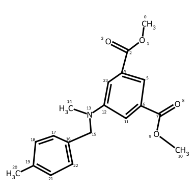 COC(=O)c1cc(C(=O)OC)cc(N(C)Cc2ccc(C)cc2)c1